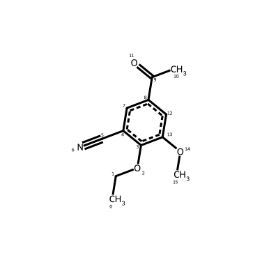 CCOc1c(C#N)cc(C(C)=O)cc1OC